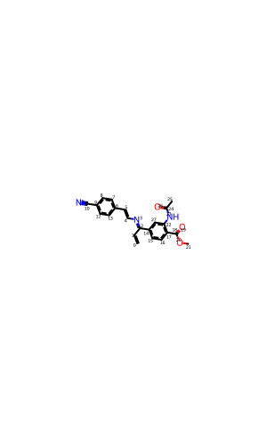 C=C/C(=N\C=Cc1ccc(C#N)cc1)c1ccc(C(=O)OC)c(NC(C)=O)c1